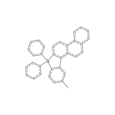 Cc1ccc2c(c1)-c1c(ccc3c1ccc1ccccc13)[Si]2(c1ccccc1)c1ccccc1